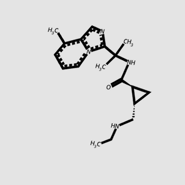 CCNC[C@H]1C[C@@H]1C(=O)NC(C)(C)c1ncc2c(C)cccn12